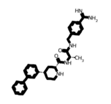 C[C@H](NC(=O)[C@H]1C[C@@H](c2cccc(-c3ccccc3)c2)CCN1)C(=O)NCc1ccc(C(=N)N)cc1